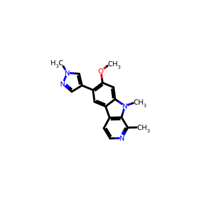 COc1cc2c(cc1-c1cnn(C)c1)c1ccnc(C)c1n2C